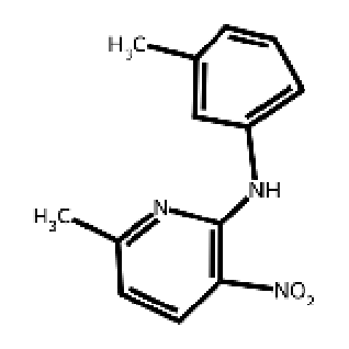 Cc1cccc(Nc2nc(C)ccc2[N+](=O)[O-])c1